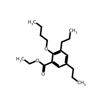 CCCCOc1c(CCC)cc(CCC)cc1C(=O)OCC